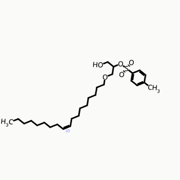 CCCCCCCC/C=C\CCCCCCCCOCC(CO)OS(=O)(=O)c1ccc(C)cc1